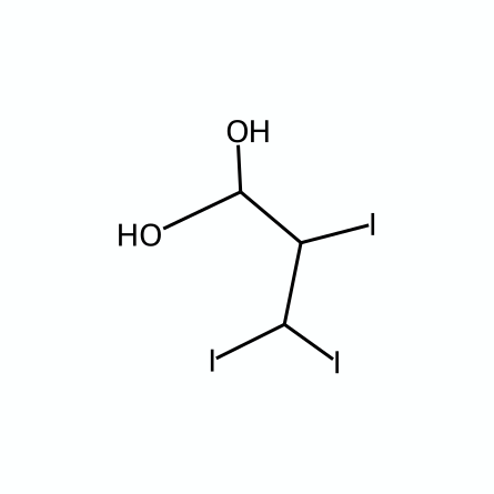 OC(O)C(I)C(I)I